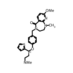 CNCC[C@H](Oc1ccc(CN2CCN(C)c3nc(OC)ccc3C2=O)cc1)c1cccs1